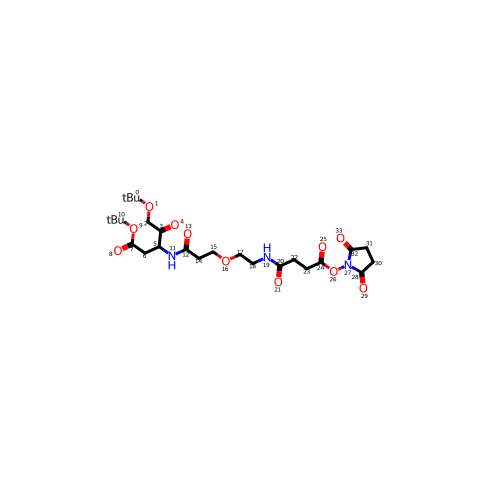 CC(C)(C)OCC(=O)C(CC(=O)OC(C)(C)C)NC(=O)CCOCCNC(=O)CCC(=O)ON1C(=O)CCC1=O